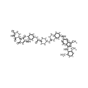 Cc1cccc(C)c1Nc1nn(C)c2nc(Nc3ccc4c(c3)CN(CC3CCN(C(=O)Cc5cccc(NC6=CC(=O)N(C7CCC(=O)NC7=O)C6=O)c5)CC3)CC4)ncc12